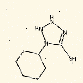 SC1=NNNN1C1CCCCC1